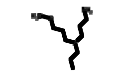 CCCN(CCCN)CCCO[SiH3]